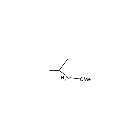 CO[SiH2][C](C)C